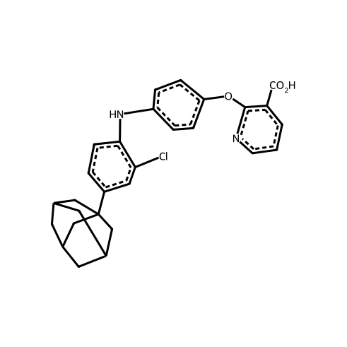 O=C(O)c1cccnc1Oc1ccc(Nc2ccc(C34CC5CC(CC(C5)C3)C4)cc2Cl)cc1